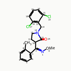 CON=C(c1ccccc1C)C1CCN(Cc2c(Cl)cccc2Cl)C1=O